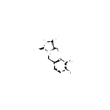 O=C1NC(=O)N(Cc2ccc(Cl)c(Cl)c2)C1=O